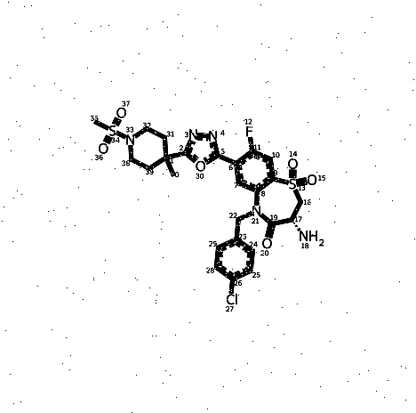 CC1(c2nnc(-c3cc4c(cc3F)S(=O)(=O)C[C@H](N)C(=O)N4Cc3ccc(Cl)cc3)o2)CCN(S(C)(=O)=O)CC1